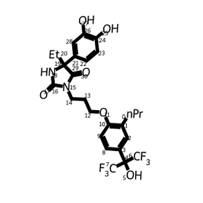 CCCc1cc(C(O)(C(F)(F)F)C(F)(F)F)ccc1OCCCN1C(=O)NC(CC)(c2ccc(O)c(O)c2)C1=O